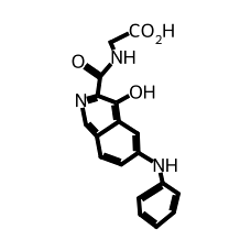 O=C(O)CNC(=O)c1ncc2ccc(Nc3ccccc3)cc2c1O